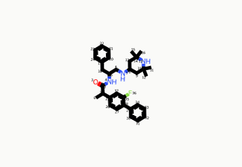 CC(C(=O)NC(CNC1CC(C)(C)NC(C)(C)C1)Cc1ccccc1)c1ccc(-c2ccccc2)c(F)c1